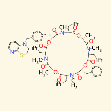 CC(C)C[C@H]1C(=O)O[C@H](Cc2ccc(CN3CCSc4ncccc43)cc2)C(=O)N(C)[C@@H](CC(C)C)C(=O)O[C@H](C)C(=O)N(C)[C@@H](CC(C)C)C(=O)O[C@H](Cc2ccccc2)C(=O)N(C)[C@@H](CC(C)C)C(=O)O[C@H](C)C(=O)N1C